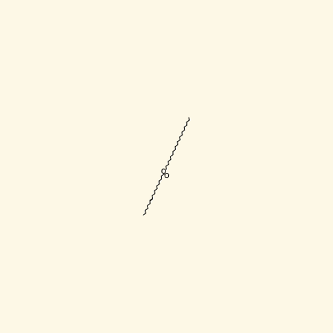 CCCCCC/C=C/CCCCCCCCCC(=O)OCCCCCCCCCCCCCCCCCCCCCC